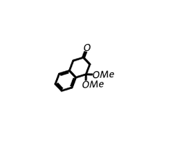 COC1(OC)CC(=O)Cc2ccccc21